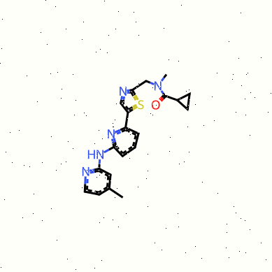 Cc1ccnc(Nc2cccc(-c3cnc(CN(C)C(=O)C4CC4)s3)n2)c1